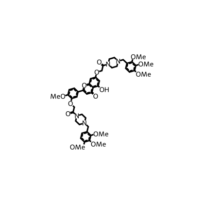 COc1ccc(-c2cc(=O)c3c(O)cc(OCC(=O)N4CCN(Cc5ccc(OC)c(OC)c5OC)CC4)cc3o2)cc1OCC(=O)N1CCN(Cc2ccc(OC)c(OC)c2OC)CC1